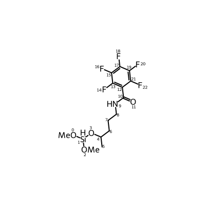 CO[SiH](OC)OC(C)CCCNC(=O)c1c(F)c(F)c(F)c(F)c1F